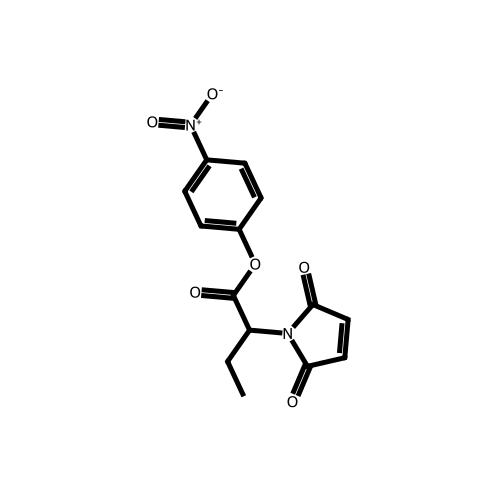 CCC(C(=O)Oc1ccc([N+](=O)[O-])cc1)N1C(=O)C=CC1=O